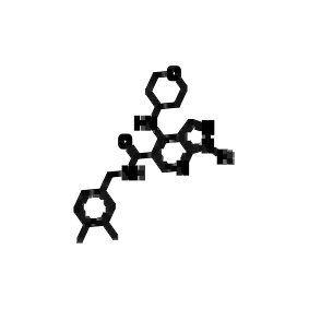 CCn1ncc2c(NC3CCOCC3)c(C(=O)NCc3ccc(C)c(C)c3)cnc21